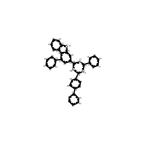 c1ccc(-c2ccc(-c3nc(-c4ccccc4)nc(-c4cc(-c5ccccc5)c5c(c4)sc4ccccc45)n3)cc2)cc1